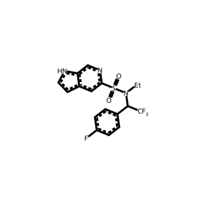 CCN(C(c1ccc(F)cc1)C(F)(F)F)S(=O)(=O)c1cc2cc[nH]c2cn1